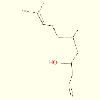 C=CCC(O)CC(C)CCC=C(C)C